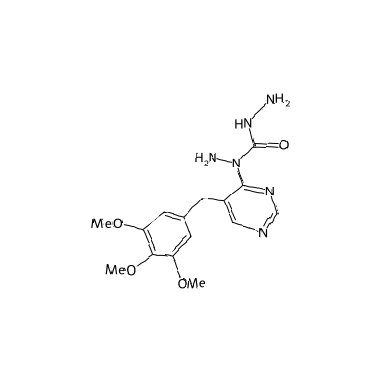 COc1cc(Cc2cncnc2N(N)C(=O)NN)cc(OC)c1OC